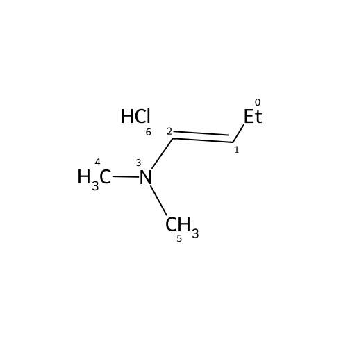 CCC=CN(C)C.Cl